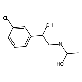 C[C](O)NCC(O)c1cccc(Cl)c1